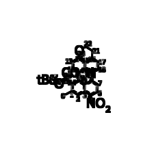 Cc1cc2c([N+](=O)[O-])cccc2c(-c2ccc3c4c(ccnc24)CCO3)c1C(OC(C)(C)C)C(=O)O